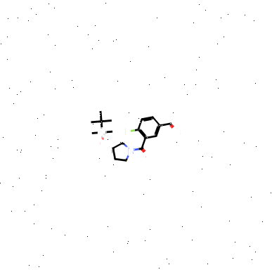 CC(C)(C)[Si](C)(C)O[C@H]1CCN(C(=O)c2cc(C=O)ccc2F)C1